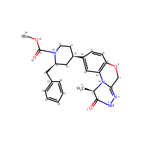 C[C@@H]1C(=O)NN=C2COc3ccc([C@@H]4CCN(C(=O)OC(C)(C)C)[C@H](Cc5ccccc5)C4)cc3N21